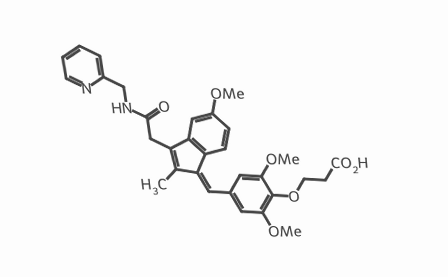 COc1ccc2c(c1)C(CC(=O)NCc1ccccn1)=C(C)/C2=C/c1cc(OC)c(OCCC(=O)O)c(OC)c1